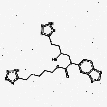 O=C(OCCCCCc1nnn[nH]1)N(CC(S)CCc1nn[nH]n1)c1ccc2ncsc2c1